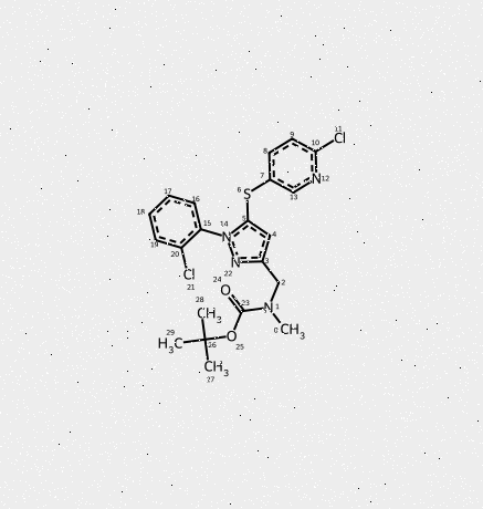 CN(Cc1cc(Sc2ccc(Cl)nc2)n(-c2ccccc2Cl)n1)C(=O)OC(C)(C)C